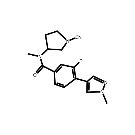 CN(C(=O)c1ccc(-c2cnn(C)c2)c(F)c1)C1CCN(C#N)C1